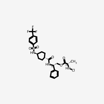 C[C@H](NCl)C(=O)OC[C@@H](NC(=O)[C@H]1CC[C@H](NS(=O)(=O)c2ccc(C(F)(F)F)cc2)CC1)c1ccccc1